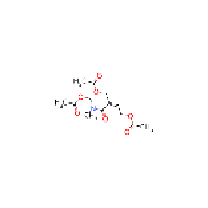 CC(=O)OCC=C(COC(C)=O)C(=O)N(C)COC(C)=O